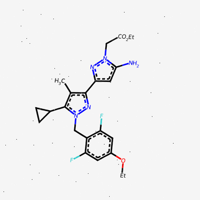 CCOC(=O)Cn1nc(-c2nn(Cc3c(F)cc(OCC)cc3F)c(C3CC3)c2C)cc1N